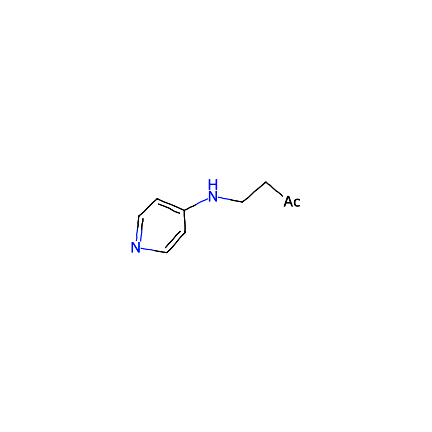 CC(=O)CCNc1ccncc1